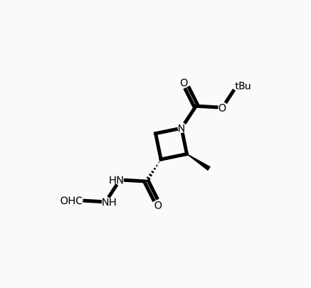 C[C@H]1[C@H](C(=O)NNC=O)CN1C(=O)OC(C)(C)C